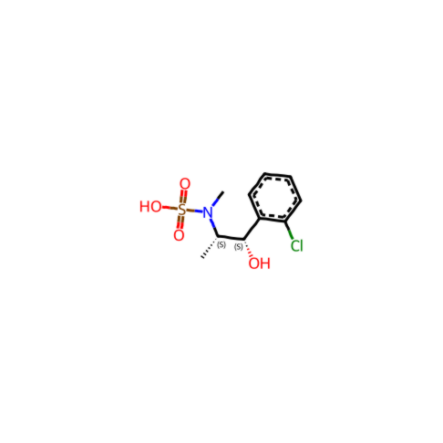 C[C@@H]([C@@H](O)c1ccccc1Cl)N(C)S(=O)(=O)O